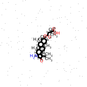 CC(C)C1=C2[C@H]3CCC4[C@@](C)(CCC5C(C)(C)[C@@H](OC(=O)CC(C)(C)C(=O)O)CC[C@@]54C)C3CC[C@@]2(N)CC1=O